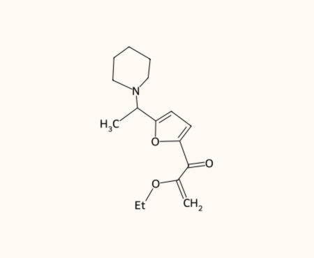 C=C(OCC)C(=O)c1ccc(C(C)N2CCCCC2)o1